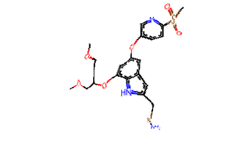 COCC(COC)Oc1cc(Oc2ccc(S(C)(=O)=O)nc2)cc2cc(CSN)[nH]c12